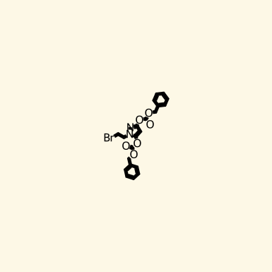 O=C(OCc1ccccc1)Oc1cc(OC(=O)OCc2ccccc2)n(CCBr)n1